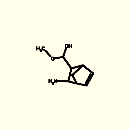 COC(O)C1C2C=CC(C2)C1N